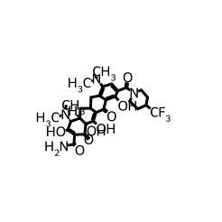 CN(C)c1cc(C(=O)N2CCC(C(F)(F)F)CC2)c(O)c2c1CC1C[C@H]3[C@H](N(C)C)C(O)=C(C(N)=O)C(=O)[C@@]3(O)C(O)=C1C2=O